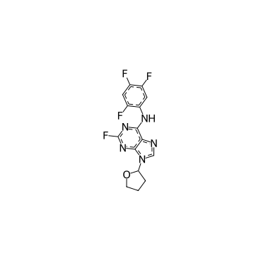 Fc1nc(Nc2cc(F)c(F)cc2F)c2ncn(C3CCCO3)c2n1